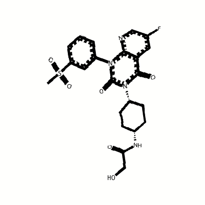 CS(=O)(=O)c1cccc(-n2c(=O)n([C@H]3CC[C@@H](NC(=O)CO)CC3)c(=O)c3cc(F)cnc32)c1